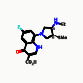 CCN[C@@H]1CN(c2cc(F)cc3c(=O)c(C(=O)O)c[nH]c23)C[C@H]1SC